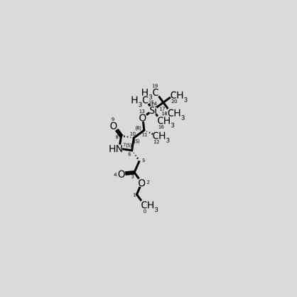 CCOC(=O)C[C@@H]1NC(=O)[C@@H]1[C@@H](C)O[Si](C)(C)C(C)(C)C